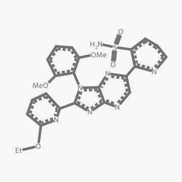 CCOc1cccc(-c2nc3ncc(-c4ncccc4S(N)(=O)=O)nc3n2-c2c(OC)cccc2OC)n1